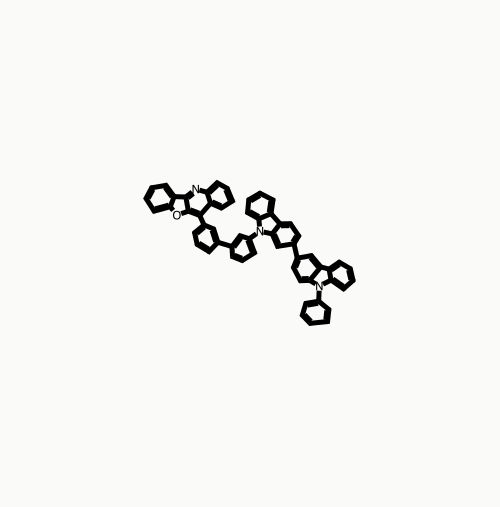 c1ccc(-n2c3ccccc3c3cc(-c4ccc5c6ccccc6n(-c6cccc(-c7cccc(-c8c9ccccc9nc9c8oc8ccccc89)c7)c6)c5c4)ccc32)cc1